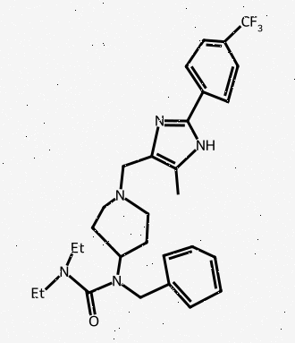 CCN(CC)C(=O)N(Cc1ccccc1)C1CCN(Cc2nc(-c3ccc(C(F)(F)F)cc3)[nH]c2C)CC1